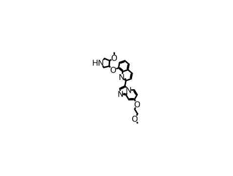 COCCOc1ccn2c(-c3ccc4cccc(OC5CNCC5OC)c4n3)cnc2c1